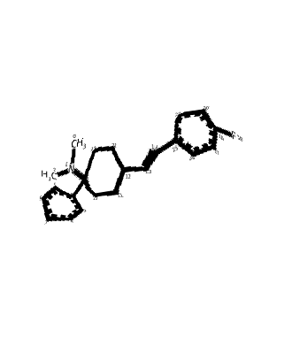 CN(C)C1(c2ccccc2)CCC(/C=C/c2ccc(F)cc2)CC1